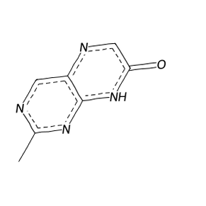 Cc1ncc2ncc(=O)[nH]c2n1